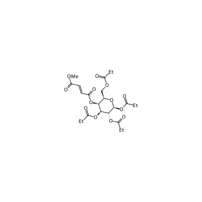 CCC(=O)OC[C@H]1O[C@@H](OC(=O)CC)[C@H](OC(=O)CC)[C@@H](OC(=O)CC)[C@H]1OC(=O)/C=C/C(=O)OC